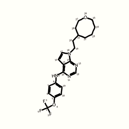 FC(F)(F)Oc1ccc(Nc2ncnc3c2ccn3CCC2CCCCOCC2)cc1